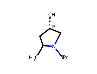 CC(C)N1C[C@@H](C)CC1C